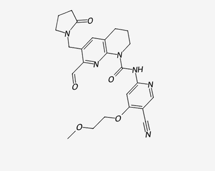 COCCOc1cc(NC(=O)N2CCCc3cc(CN4CCCC4=O)c(C=O)nc32)ncc1C#N